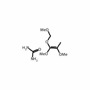 COCOC(OC)=C(C)OC.NC(N)=O